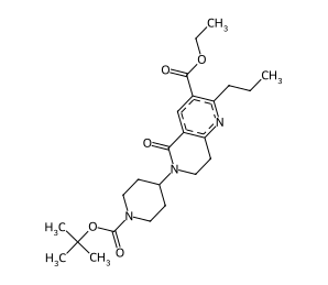 CCCc1nc2c(cc1C(=O)OCC)C(=O)N(C1CCN(C(=O)OC(C)(C)C)CC1)CC2